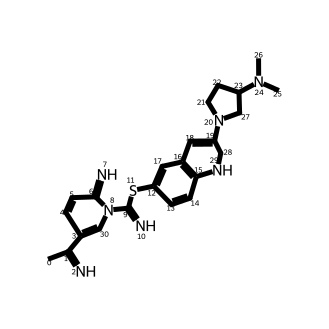 CC(=N)c1ccc(=N)n(C(=N)Sc2ccc3c(c2)C=C(N2CCC(N(C)C)C2)CN3)c1